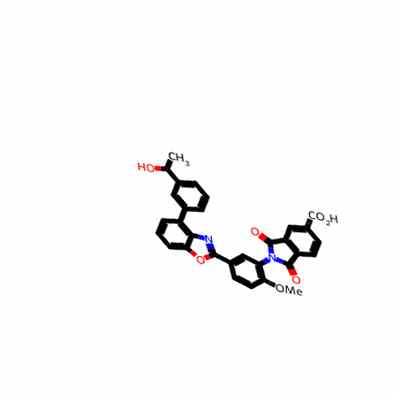 COc1ccc(-c2nc3c(-c4cccc(C(C)O)c4)cccc3o2)cc1N1C(=O)c2ccc(C(=O)O)cc2C1=O